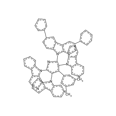 Cc1cc(C)cc(-c2c(-n3c4ccccc4c4ccncc43)c(-n3c4ccc(-c5ccccc5)cc4c4cc(-c5ccccc5)ccc43)nc(-n3c4ccccc4c4ccncc43)c2-n2c3ccccc3c3ccncc32)c1